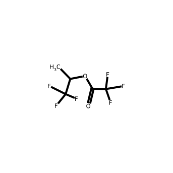 CC(OC(=O)C(F)(F)F)C(F)(F)F